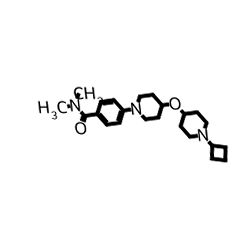 CN(C)C(=O)c1ccc(N2CCC(OC3CCN(C4CCC4)CC3)CC2)cc1